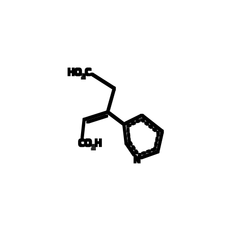 O=C(O)/C=C(/CC(=O)O)c1cccnc1